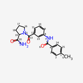 Cc1ccc(C(=O)Nc2c[c]cc(C(=O)N3CCCC3C(N)=O)c2)cc1